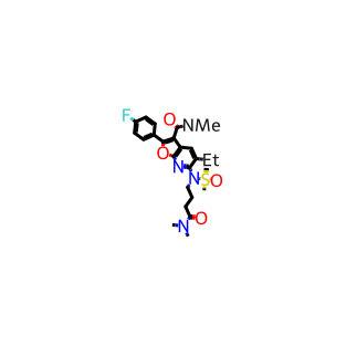 C=S(C)(=O)N(CCCC(=O)N(C)C)c1nc2oc(-c3ccc(F)cc3)c(C(=O)NC)c2cc1CC